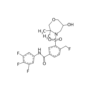 CC1(C)COCC(O)CN1S(=O)(=O)c1cc(C(=O)Nc2cc(F)c(F)c(F)c2)ccc1CF